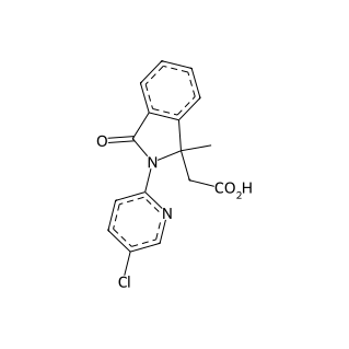 CC1(CC(=O)O)c2ccccc2C(=O)N1c1ccc(Cl)cn1